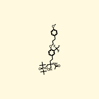 COc1ccc(CCCOc2ccc(CCC(CO)(COP(=O)(C(C)(C)C)C(C)(C)C)NC(C)=O)cc2C(F)(F)F)cc1